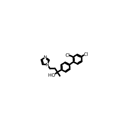 CC(O)(CCn1ccnc1)c1ccc(-c2ccc(Cl)cc2Cl)cc1